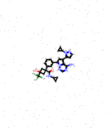 Nc1ncnn2c(-c3cccc(C4(C(=O)NC5CC5)CC(O)(C(F)(F)F)C4)c3)cc(-c3ccnn3C3CC3)c12